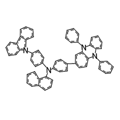 c1ccc(N2c3ccccc3N(c3ccccc3)c3cc(-c4ccc(N(c5ccc(-n6c7ccccc7c7ccccc76)cc5)c5cccc6ccccc56)cc4)ccc32)cc1